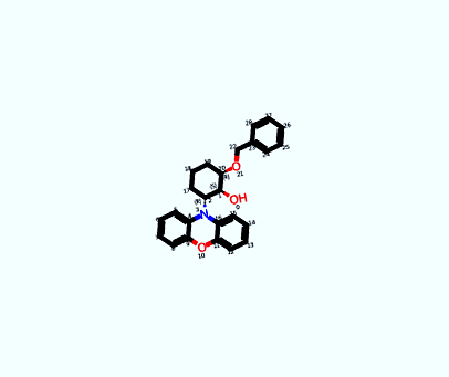 O[C@H]1[C@H](N2c3ccccc3Oc3ccccc32)CCC[C@H]1OCc1ccccc1